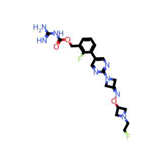 N=C(N)NC(=O)OCc1cccc(-c2cnc(N3CC(=NOC4CN(CCF)C4)C3)nc2)c1F